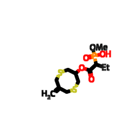 C=C1CSCC(OC(=O)C(CC)P(=O)(O)OC)CSC1